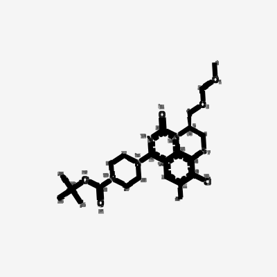 COCOC[C@H]1CSc2c(Cl)c(C)cc3c(N4CCN(C(=O)OC(C)(C)C)CC4)nc(=O)n1c23